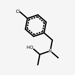 CC(O)N(C)Cc1ccc(Cl)cc1